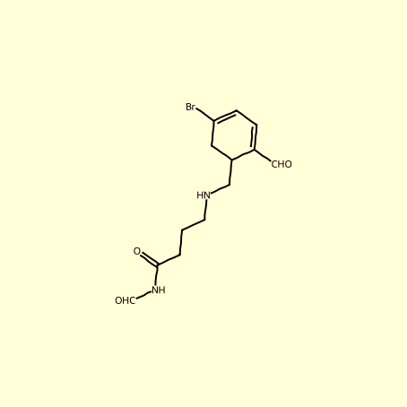 O=CNC(=O)CCCNCC1CC(Br)=CC=C1C=O